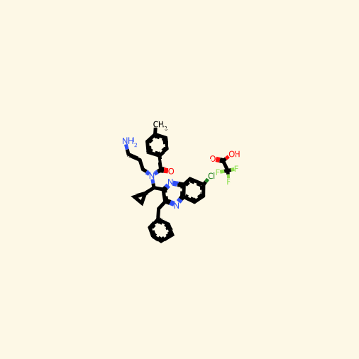 Cc1ccc(C(=O)N(CCCN)C(c2nc3cc(Cl)ccc3nc2Cc2ccccc2)C2CC2)cc1.O=C(O)C(F)(F)F